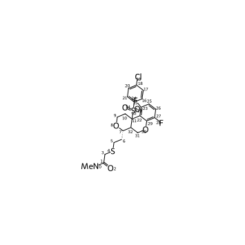 CNC(=O)CSCC[C@@H]1OCCC2(S(=O)(=O)c3ccc(Cl)cc3)c3c(F)ccc(F)c3OCC12